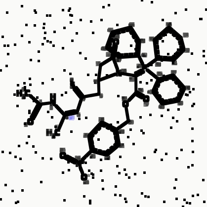 CC(=O)N/C(C)=C\C(=S)CC1CC(=O)N1C(C(=O)OCc1ccc([N+](=O)[O-])cc1)=P(c1ccccc1)(c1ccccc1)c1ccccc1